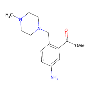 COC(=O)c1cc(N)ccc1CN1CCN(C)CC1